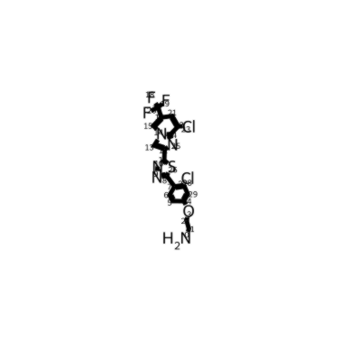 NCCOc1ccc(-c2nnc(-c3cn4cc(C(F)(F)F)cc(Cl)c4n3)s2)c(Cl)c1